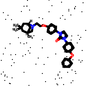 CC1(C)C[C@@H]2C[C@@](C)(CN2CCOc2ccc(-n3ccn(-c4ccc(Oc5ccccc5)cc4)c3=O)cc2)C1